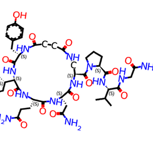 CC[C@H](C)[C@@H]1NC(=O)[C@H](Cc2ccc(O)cc2)NC(=O)CCC(=O)NC[C@@H](C(=O)N2CCC[C@H]2C(=O)N[C@H](C(=O)NCC(N)=O)C(C)C)NC(=O)[C@H](CC(N)=O)NC(=O)[C@H](CCC(N)=O)NC1=O